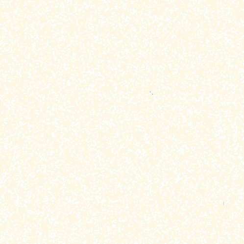 CCCCCCCCCC[N+](C)(C)CCCCCCCCCC.O=C(O)c1ccccc1